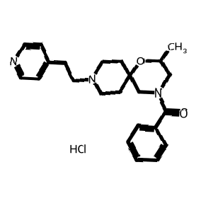 CC1CN(C(=O)c2ccccc2)CC2(CCN(CCc3ccncc3)CC2)O1.Cl